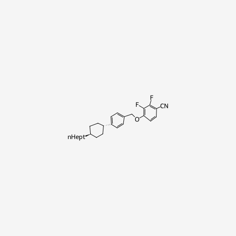 CCCCCCC[C@H]1CC[C@H](c2ccc(COc3ccc(C#N)c(F)c3F)cc2)CC1